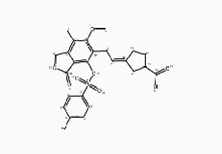 COc1c(C)c2c(c(OS(=O)(=O)c3ccc(C)cc3)c1CC=C1CCC(C(=O)O)C1)C(=O)OC2